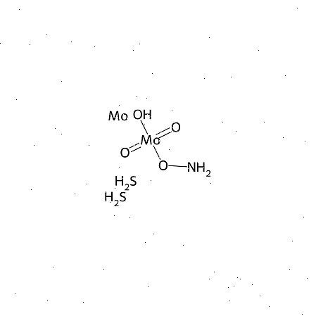 N[O][Mo](=[O])(=[O])[OH].S.S.[Mo]